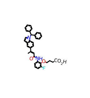 CC(=CC(=O)Nc1cccc(F)c1OCCCC(=O)O)c1ccc2c(ccn2C(c2ccccc2)c2ccccc2)c1